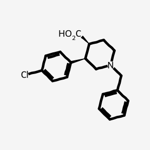 O=C(O)[C@H]1CCN(Cc2ccccc2)C[C@H]1c1ccc(Cl)cc1